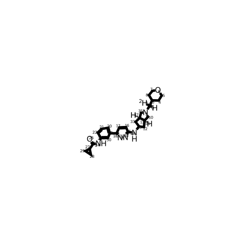 [2H]C([2H])(C1CCOCC1)N1C[C@H]2CC(Nc3ccc(-c4cccc(NC(=O)C5CC5)c4)nn3)C[C@H]2C1